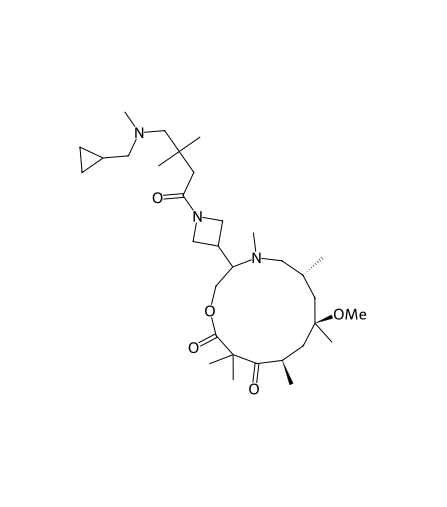 CO[C@]1(C)C[C@@H](C)CN(C)C(C2CN(C(=O)CC(C)(C)CN(C)CC3CC3)C2)COC(=O)C(C)(C)C(=O)[C@H](C)C1